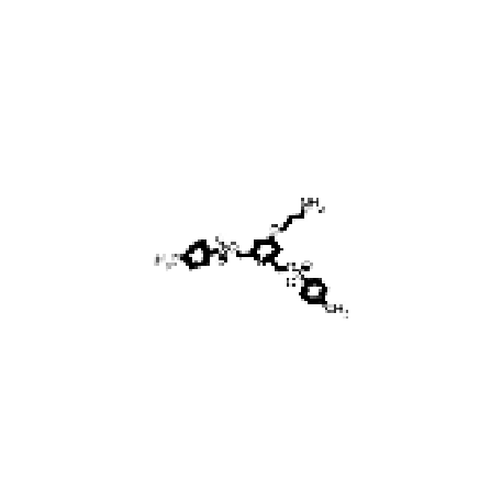 Cc1ccc(S(=O)(=O)OCc2cc(OCCCN)cc(COS(=O)(=O)c3ccc(C)cc3)n2)cc1